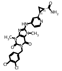 Cn1c(Nc2ccnc([C@H]3C[C@@H]3C(N)=O)c2)nc2c1c(=O)n(Cc1ccc(Cl)c(Cl)c1)c(=O)n2C